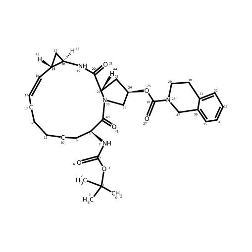 CC(C)(C)OC(=O)N[C@H]1CCCCC/C=C\[C@@H]2C[C@H]2NC(=O)[C@@H]2C[C@@H](OC(=O)N3CCc4ccccc4C3)CN2C1=O